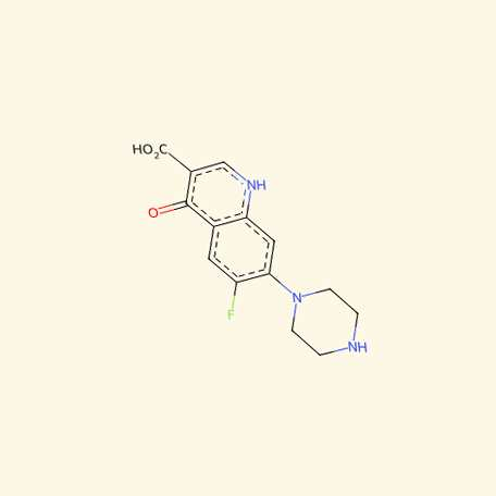 O=C(O)c1c[nH]c2cc(N3CCNCC3)c(F)cc2c1=O